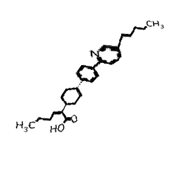 CCCC=C(C(=O)O)[C@H]1CC[C@H](c2ccc(-c3ccc(CCCCC)cn3)cc2)CC1